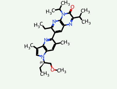 CCc1nc2c(cc1-c1nc3c(C)cn([C@H](CC)COC)c3cc1C)nc(C(C)C)c(=O)n2C(C)C